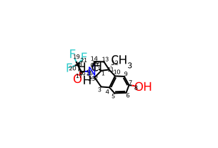 C[C@@H]1[C@H]2Cc3ccc(O)cc3[C@]1(C)CCN2C(=O)C(F)(F)F